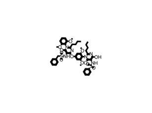 CCCCc1nc(O)c(NS(=O)(=O)c2ccccc2)c(=O)n1-c1c(OC)cc(Oc2nc(CCCC)n(-c3c(OC)cccc3OC)c(=O)c2NS(=O)(=O)Cc2ccccc2)cc1OC